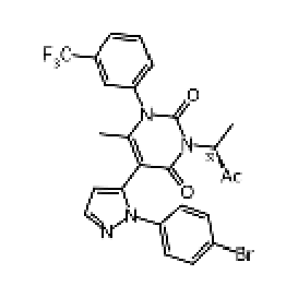 CC(=O)[C@H](C)n1c(=O)c(-c2ccnn2-c2ccc(Br)cc2)c(C)n(-c2cccc(C(F)(F)F)c2)c1=O